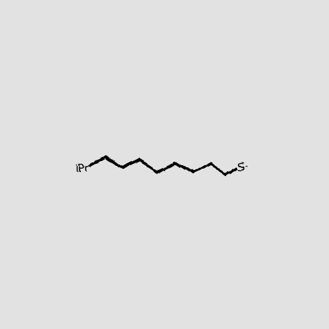 CC(C)CCCCCCCC[S]